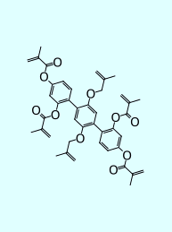 C=C(C)COc1cc(-c2ccc(OC(=O)C(=C)C)cc2OC(=O)C(=C)C)c(OCC(=C)C)cc1-c1ccc(OC(=O)C(=C)C)cc1OC(=O)C(=C)C